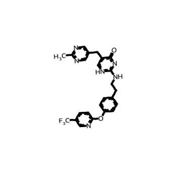 Cc1ncc(Cc2c[nH]c(NCCc3ccc(Oc4ccc(C(F)(F)F)cn4)cc3)nc2=O)cn1